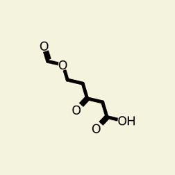 O=COCCC(=O)CC(=O)O